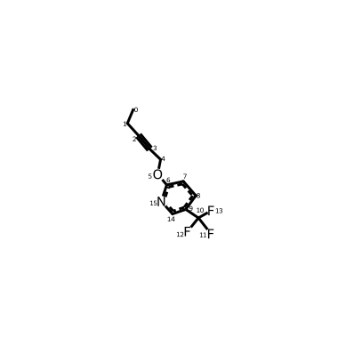 CCC#CCOc1ccc(C(F)(F)F)cn1